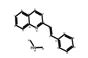 C(=Cc1ccc2ccccc2n1)c1ccccc1.CNC